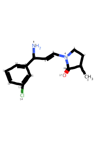 CC1CCN(C=CC(N)c2cccc(Cl)c2)C1=O